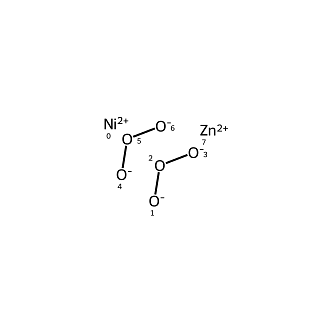 [Ni+2].[O-]O[O-].[O-]O[O-].[Zn+2]